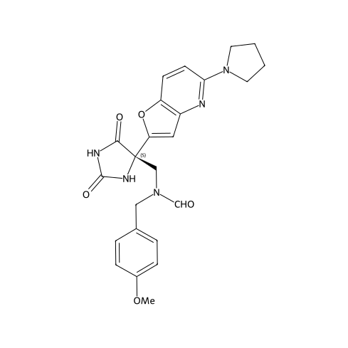 COc1ccc(CN(C=O)C[C@@]2(c3cc4nc(N5CCCC5)ccc4o3)NC(=O)NC2=O)cc1